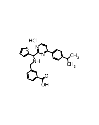 CC(C)c1ccc(-c2ccnc(C(NCc3cccc(C(=O)O)c3)c3cccs3)n2)cc1.Cl